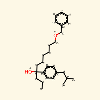 CCCC(O)(CCCCCCOCc1ccccc1)c1ccc(CC(C)C)cc1